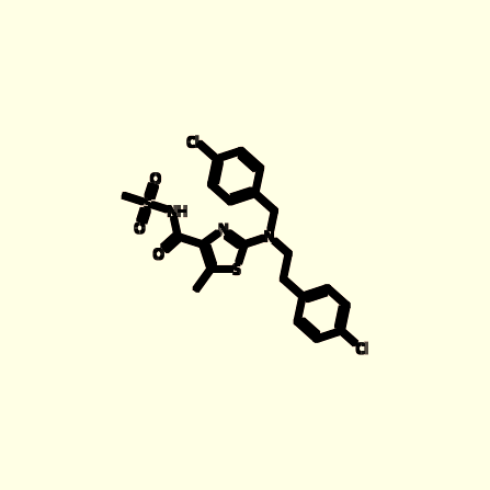 Cc1sc(N(CCc2ccc(Cl)cc2)Cc2ccc(Cl)cc2)nc1C(=O)NS(C)(=O)=O